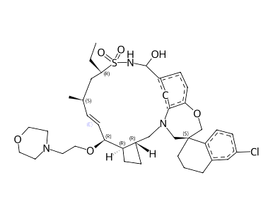 CC[C@@H]1C[C@H](C)/C=C/[C@H](OCCN2CCOCC2)[C@@H]2CC[C@H]2CN2C[C@@]3(CCCc4cc(Cl)ccc43)COc3ccc(cc32)C(O)NS1(=O)=O